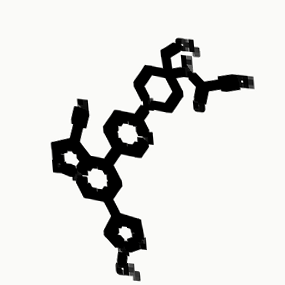 C#CC(=O)NC1(CC)CCN(c2ccc(-c3cc(-c4cnn(C)c4)cn4ncc(C#N)c34)cn2)CC1